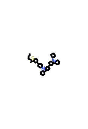 C=C/C=C\c1sc2ccc(-c3ccc(-n4c5ccccc5c5ccc(-c6ccc7c(c6)c6ccccc6n7-c6ccccc6)cc54)cc3)cc2c1C